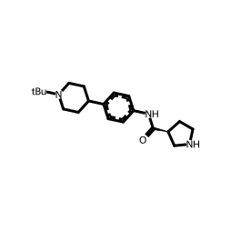 CC(C)(C)N1CCC(c2ccc(NC(=O)[C@H]3CCNC3)cc2)CC1